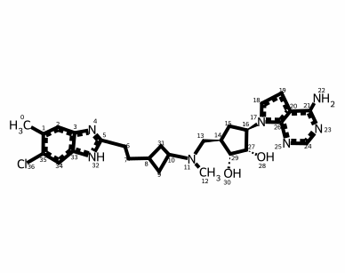 Cc1cc2nc(CCC3CC(N(C)C[C@H]4C[C@@H](n5ccc6c(N)ncnc65)[C@H](O)[C@@H]4O)C3)[nH]c2cc1Cl